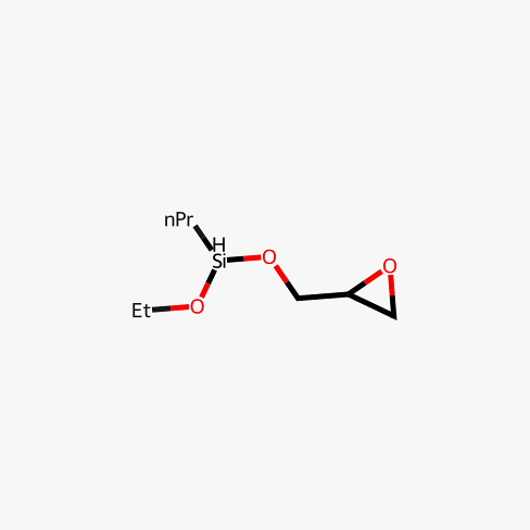 CCC[SiH](OCC)OCC1CO1